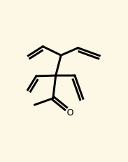 C=CC(C=C)C(C=C)(C=C)C(C)=O